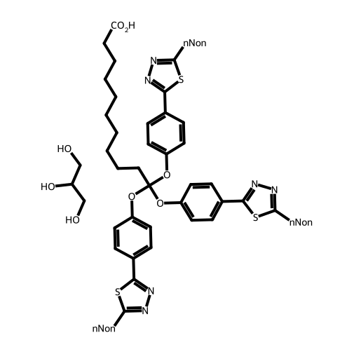 CCCCCCCCCc1nnc(-c2ccc(OC(CCCCCCCCCC(=O)O)(Oc3ccc(-c4nnc(CCCCCCCCC)s4)cc3)Oc3ccc(-c4nnc(CCCCCCCCC)s4)cc3)cc2)s1.OCC(O)CO